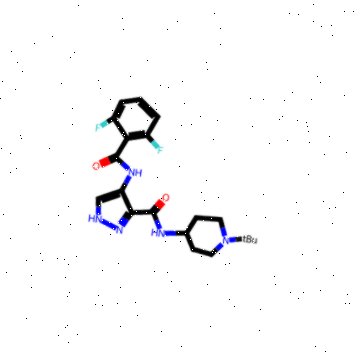 CC(C)(C)N1CCC(NC(=O)c2n[nH]cc2NC(=O)c2c(F)cccc2F)CC1